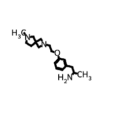 CC(N)Cc1cccc(OCCN2CC3(CCN(C)C3)C2)c1